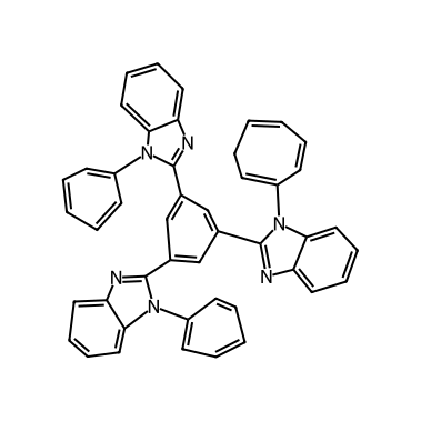 C1=CCC=C(n2c(-c3cc(-c4nc5ccccc5n4-c4ccccc4)cc(-c4nc5ccccc5n4-c4ccccc4)c3)nc3ccccc32)C=C1